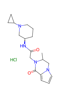 CC1Cn2cccc2C(=O)N1CC(=O)N[C@@H]1CCCN(C2CC2)C1.Cl